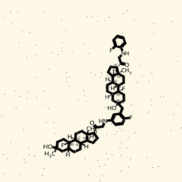 C[C@@]1(O)CC[C@@]2(F)[C@H](CC[C@H]3[C@@H]4CC[C@H](C(=O)CNc5ccc(F)c(C[C@@]6(O)CC[C@@]7(F)[C@H](CC[C@H]8[C@@H]9CC[C@H](C(=O)CNc%10ccccc%10F)[C@@]9(C)CC[C@@H]87)C6)c5)[C@@]4(C)CC[C@@H]32)C1